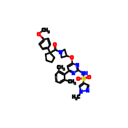 COc1ccc(C2(C(=O)N3CC(Oc4cc(-c5c(C)cccc5C)nc(NS(=O)(=O)c5cnn(C)c5)n4)C3)CCCC2)cc1